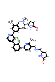 COc1cc(-c2nccc(-c3cccc(-c4ccc(CNC[C@H]5CCC(=O)N5)c(OC)n4)c3Cl)c2Cl)cc(C)c1CN(C)C[C@H]1CCC(=O)N1